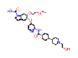 CCOCCOc1cc2c(ccn2C(=O)NC)cc1Oc1ccnc(NC(=O)c2ccc(C3CCN(CCO)CC3)cc2)c1